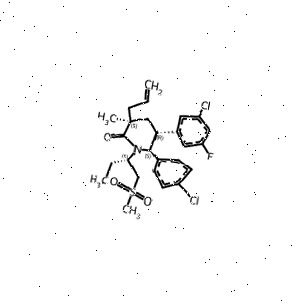 C=CC[C@@]1(C)C[C@H](c2cc(F)cc(Cl)c2)[C@@H](c2ccc(Cl)cc2)N([C@@H](CC)CS(C)(=O)=O)C1=O